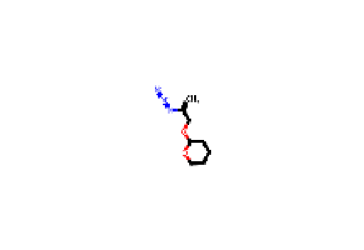 C=C(COC1CCCCO1)N=[N+]=[N-]